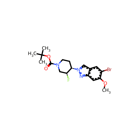 COc1cc2nn([C@@H]3CCN(C(=O)OC(C)(C)C)C[C@@H]3F)cc2cc1Br